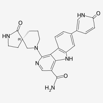 NC(=O)c1cnc(N2CCC[C@@]3(CCNC3=O)C2)c2c1[nH]c1cc(-c3ccc(=O)[nH]c3)ccc12